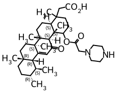 C[C@H]1[C@H](C)CC[C@]2(C)CC[C@]3(C)C(=CC(=O)[C@@H]4[C@@]5(C)C(OC(=O)CN6CCNCC6)CCC(C)(CC(=O)O)[C@@H]5CC[C@]43C)[C@H]12